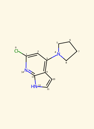 Clc1cc(N2CCCC2)c2cc[nH]c2n1